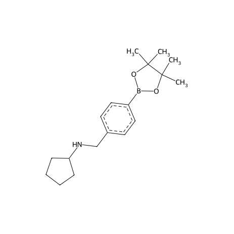 CC1(C)OB(c2ccc(CNC3CCCC3)cc2)OC1(C)C